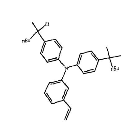 C=Cc1cccc(N(c2ccc(C(C)(C)CCCC)cc2)c2ccc(C(C)(CC)CCCC)cc2)c1